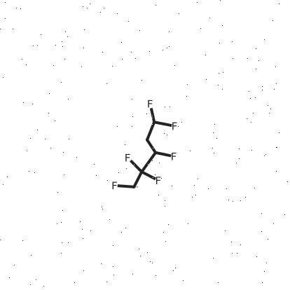 F[CH]C(F)(F)C(F)CC(F)F